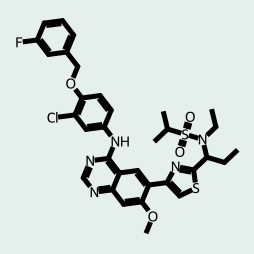 CCC(c1nc(-c2cc3c(Nc4ccc(OCc5cccc(F)c5)c(Cl)c4)ncnc3cc2OC)cs1)N(CC)S(=O)(=O)C(C)C